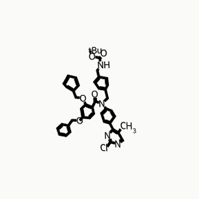 Cc1cnc(Cl)nc1-c1ccc(N(Cc2ccc(CNC(=O)OC(C)(C)C)cc2)C(=O)c2ccc(OCc3ccccc3)cc2OCc2ccccc2)cc1